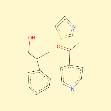 CC(=O)c1ccncc1.CC(CO)c1ccccc1.c1cscn1